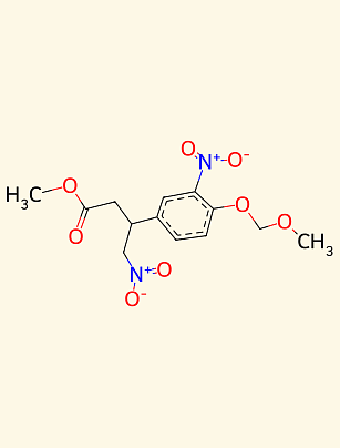 COCOc1ccc(C(CC(=O)OC)C[N+](=O)[O-])cc1[N+](=O)[O-]